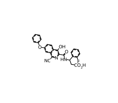 N#Cc1nc(C(=O)NC(CC(=O)O)c2ccccc2F)c(O)c2ccc(Oc3ccccc3)cc12